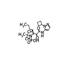 CCCC[C@@H](C(=O)C(=O)Nc1ccnn1C1CCC1)N(C(=O)O)C(C)(C)C